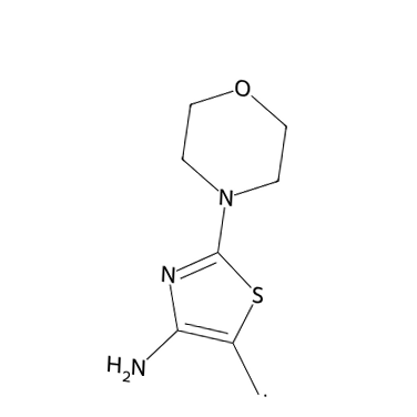 [CH2]c1sc(N2CCOCC2)nc1N